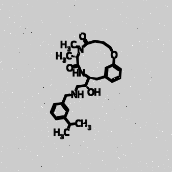 CC(C)c1cccc(CNC[C@@H](O)[C@@H]2Cc3cccc(c3)OCCCC(=O)N(C)[C@@H](C)C(=O)N2)c1